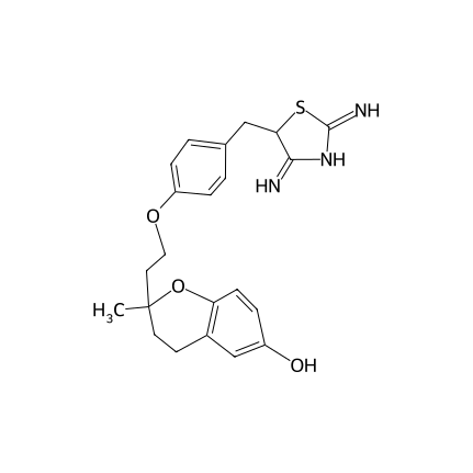 CC1(CCOc2ccc(CC3SC(=N)NC3=N)cc2)CCc2cc(O)ccc2O1